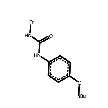 CCCCOc1ccc(NC(=O)NCC)cc1